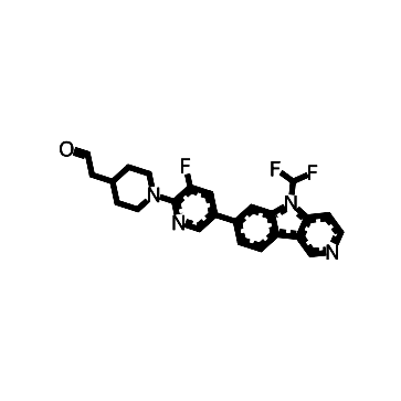 O=CCC1CCN(c2ncc(-c3ccc4c5cnccc5n(C(F)F)c4c3)cc2F)CC1